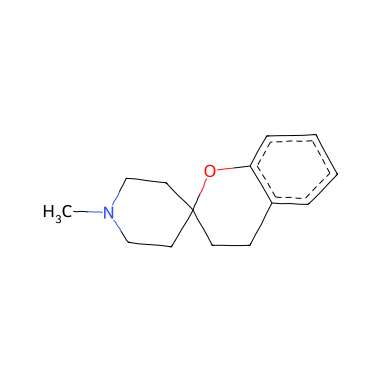 CN1CCC2(CCc3ccccc3O2)CC1